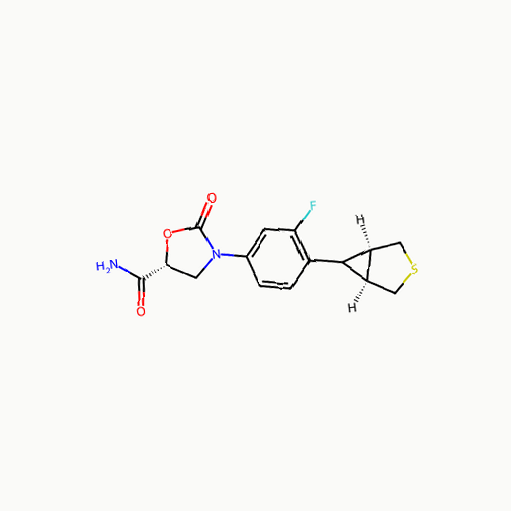 NC(=O)[C@H]1CN(c2ccc(C3[C@H]4CSC[C@@H]34)c(F)c2)C(=O)O1